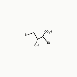 CCC(C(=O)O)[C@H](O)CBr